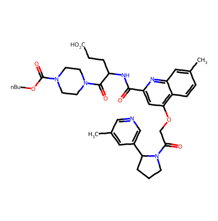 CCCCOC(=O)N1CCN(C(=O)C(CCC(=O)O)NC(=O)c2cc(OCC(=O)N3CCCC3c3cncc(C)c3)c3ccc(C)cc3n2)CC1